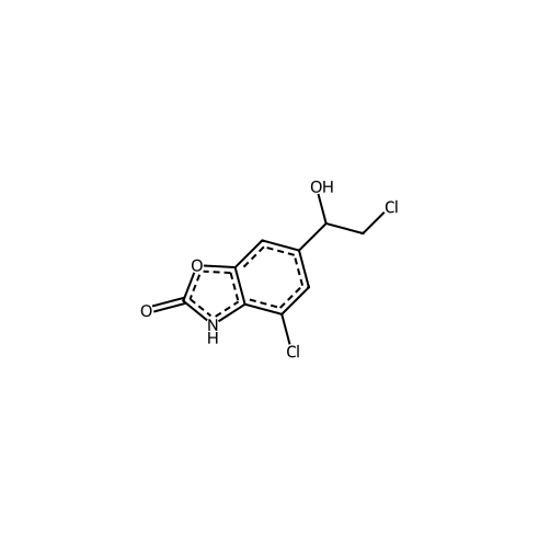 O=c1[nH]c2c(Cl)cc(C(O)CCl)cc2o1